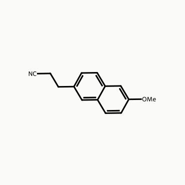 COc1ccc2cc(CCC#N)ccc2c1